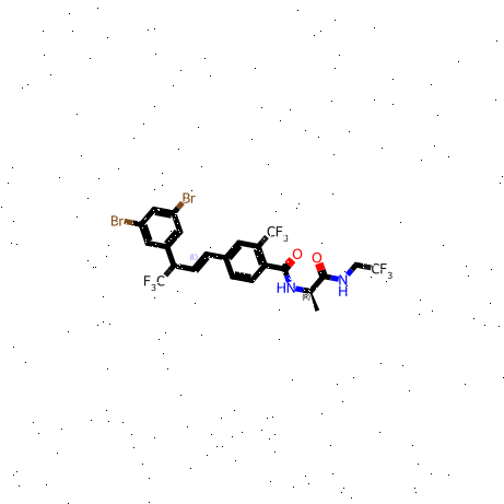 C[C@@H](NC(=O)c1ccc(/C=C/C(c2cc(Br)cc(Br)c2)C(F)(F)F)cc1C(F)(F)F)C(=O)NCC(F)(F)F